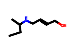 CCC(C)NC/C=C/CO